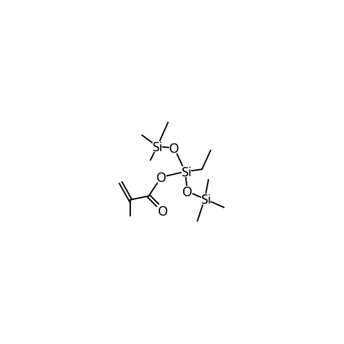 C=C(C)C(=O)O[Si](CC)(O[Si](C)(C)C)O[Si](C)(C)C